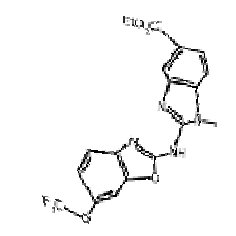 CCOC(=O)c1ccc2c(c1)nc(Nc1nc3ccc(OC(F)(F)F)cc3o1)n2C